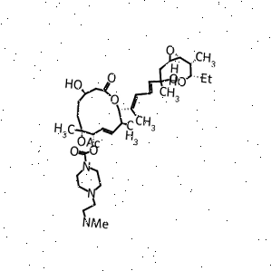 CC[C@H](O)[C@@H](C)[C@H]1O[C@@H]1CC(C)(O)/C=C/C=C(\C)[C@H]1OC(=O)C[C@H](O)CC[C@@](C)(OC(C)=O)[C@@H](OC(=O)N2CCN(CCNC)CC2)/C=C/[C@@H]1C